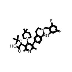 Cc1nc(C)c(C(OC(C)(C)C)C(=O)O)c(N2CCC(C)(C)CC2)c1-c1ccc2c(c1)CCN(Cc1c(O)cc(F)cc1F)C2